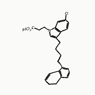 O=C(O)CCn1cc(CCCCc2cccc3c2C=CCC3)c2ccc(Cl)cc21